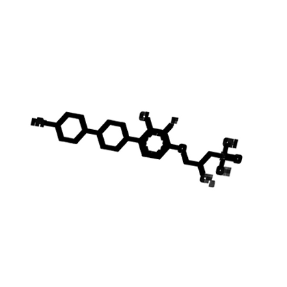 CCCC1CCC(C2CCC(c3ccc(OCC(CP(=O)(O)O)C(F)(F)F)c(F)c3Cl)CC2)CC1